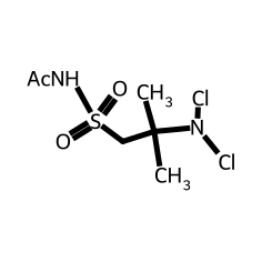 CC(=O)NS(=O)(=O)CC(C)(C)N(Cl)Cl